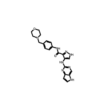 O=C(Nc1ccc(CN2CCOCC2)cc1)c1n[nH]cc1Nc1ncc2[nH]ccc2n1